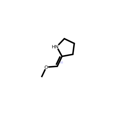 CO/C=C1/CCCN1